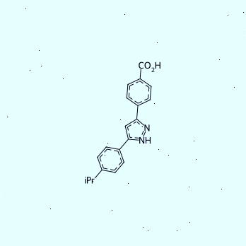 CC(C)c1ccc(-c2cc(-c3ccc(C(=O)O)cc3)n[nH]2)cc1